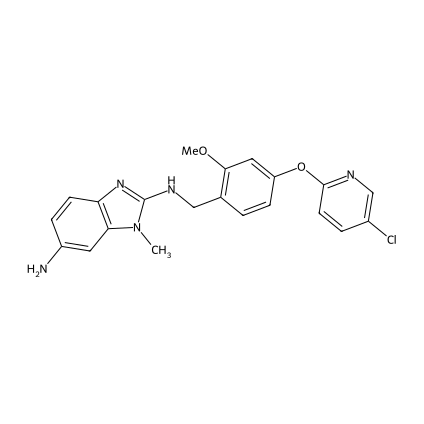 COc1cc(Oc2ccc(Cl)cn2)ccc1CNc1nc2ccc(N)cc2n1C